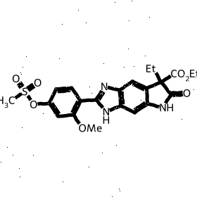 CCOC(=O)C1(CC)C(=O)Nc2cc3[nH]c(-c4ccc(OS(C)(=O)=O)cc4OC)nc3cc21